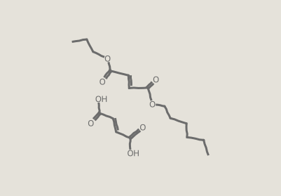 CCCCCCOC(=O)/C=C/C(=O)OCCC.O=C(O)/C=C/C(=O)O